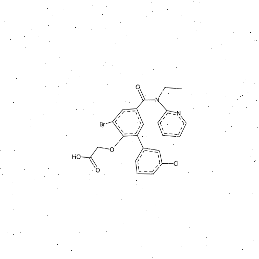 CCN(C(=O)c1cc(Br)c(OCC(=O)O)c(-c2cccc(Cl)c2)c1)c1ccccn1